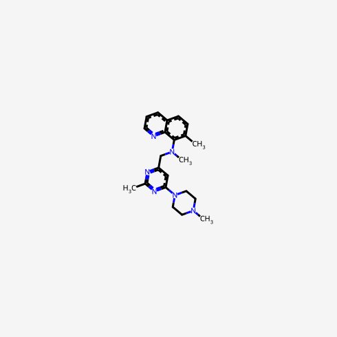 Cc1nc(CN(C)c2c(C)ccc3cccnc23)cc(N2CCN(C)CC2)n1